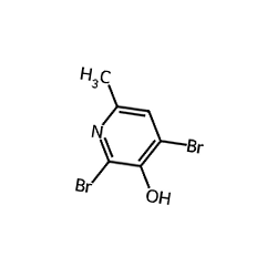 Cc1cc(Br)c(O)c(Br)n1